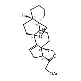 CC(=O)OCC(=O)[C@H]1CC=C2[C@]1(C)CC[C@@H]1[C@@]34CCCC[C@H]3CC[C@@]21OC4